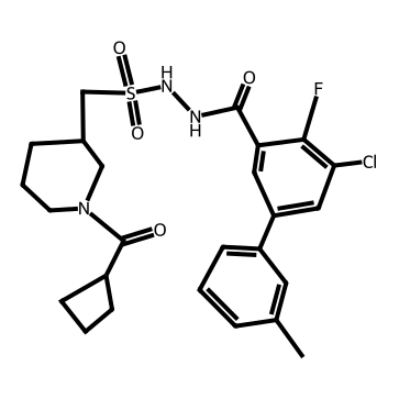 Cc1cccc(-c2cc(Cl)c(F)c(C(=O)NNS(=O)(=O)CC3CCCN(C(=O)C4CCC4)C3)c2)c1